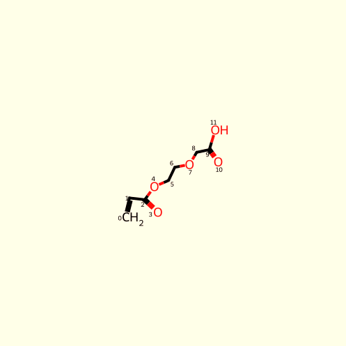 C=CC(=O)OCCOCC(=O)O